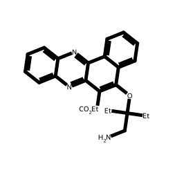 CCOC(=O)c1c(OC(CC)(CC)CN)c2ccccc2c2nc3ccccc3nc12